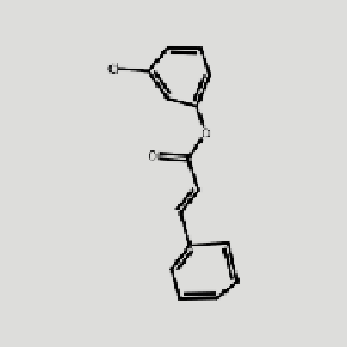 O=C(C=Cc1ccccc1)Oc1cccc(Cl)c1